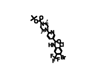 C[C@@H]1CN(c2ccc(C(=O)Nc3cc(C(F)(F)F)c(Br)cc3Cl)cn2)[C@H](C)CN1C(=O)OC(C)(C)C